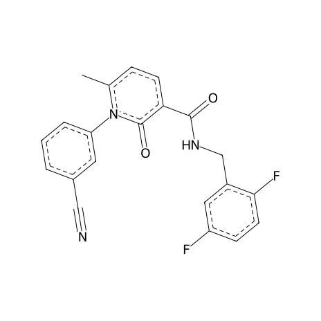 Cc1ccc(C(=O)NCc2cc(F)ccc2F)c(=O)n1-c1cccc(C#N)c1